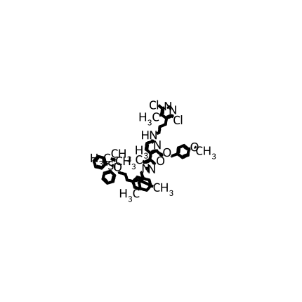 COc1ccc(COC(=O)c2nc(NCCCc3c(Cl)nnc(Cl)c3C)ccc2-c2cnn(CC34CC5(C)CC(C)(CC(CCCO[Si](c6ccccc6)(c6ccccc6)C(C)(C)C)(C5)C3)C4)c2C)cc1